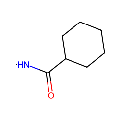 [NH]C(=O)C1CCCCC1